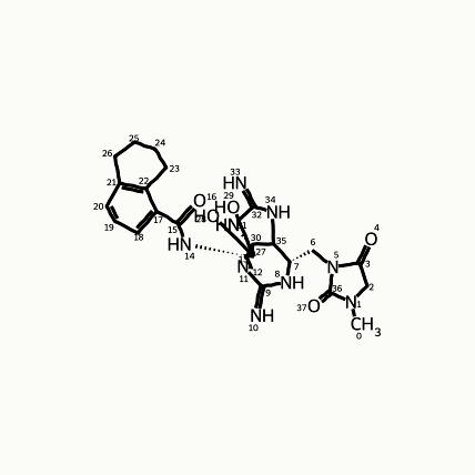 CN1CC(=O)N(C[C@@H]2NC(=N)N3C[C@H](NC(=O)c4cccc5c4CCCC5)C(O)(O)[C@@]34NC(=N)NC24)C1=O